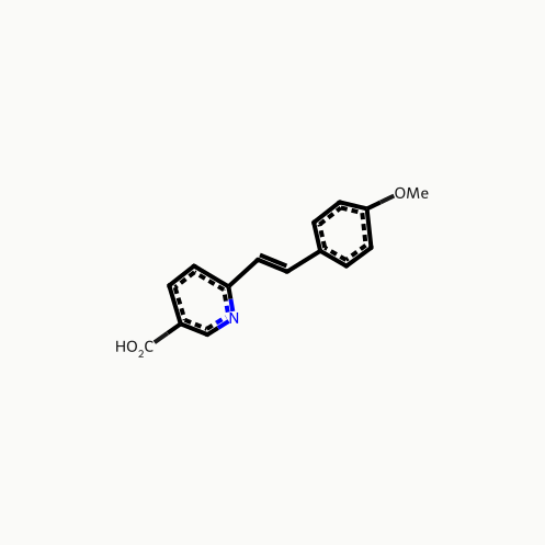 COc1ccc(C=Cc2ccc(C(=O)O)cn2)cc1